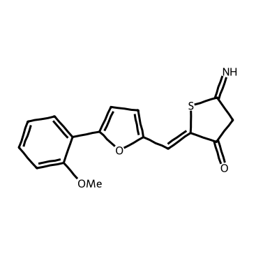 COc1ccccc1-c1ccc(/C=C2\SC(=N)CC2=O)o1